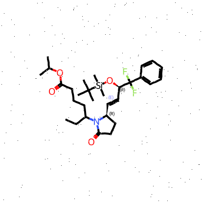 CCC(CCCC(=O)OC(C)C)N1C(=O)CC[C@@H]1/C=C/[C@@H](O[Si](C)(C)C(C)(C)C)C(F)(F)c1ccccc1